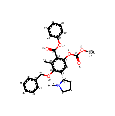 CCN1CCC[C@H]1c1cc(OC(=O)OC(C)(C)C)c(C(=O)Oc2ccccc2)c(C)c1OCc1ccccc1